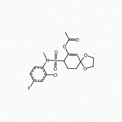 CC(=O)OC1=CC2(CCC1S(=O)(=O)N(C)c1ccc(F)cc1Cl)OCCO2